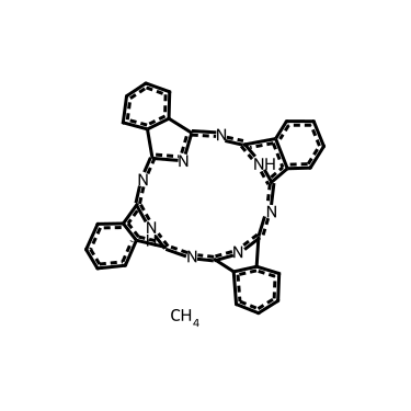 C.c1ccc2c(c1)-c1nc-2nc2[nH]c(nc3nc(nc4[nH]c(n1)c1ccccc41)-c1ccccc1-3)c1ccccc21